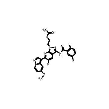 COc1ccn2ncc(-c3nc4c(cc3F)c(NC(=O)c3cc(F)ccc3F)nn4CCOC(C)=O)c2c1